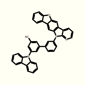 N#Cc1cc(-c2cccc(-n3c4cc5c(cc4c4cccnc43)oc3ccccc35)c2)cc(-n2c3ccccc3c3ccccc32)c1